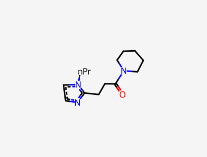 CCCn1ccnc1CCC(=O)N1CCCCC1